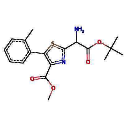 COC(=O)c1nc(C(N)C(=O)OC(C)(C)C)sc1-c1ccccc1C